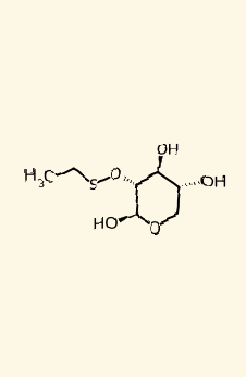 CCSO[C@@H]1[C@@H](O)[C@H](O)CO[C@H]1O